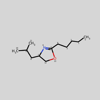 CCCCCC1=NC(CC(C)C)CO1